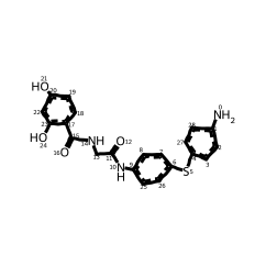 Nc1ccc(Sc2ccc(NC(=O)CNC(=O)c3ccc(O)cc3O)cc2)cc1